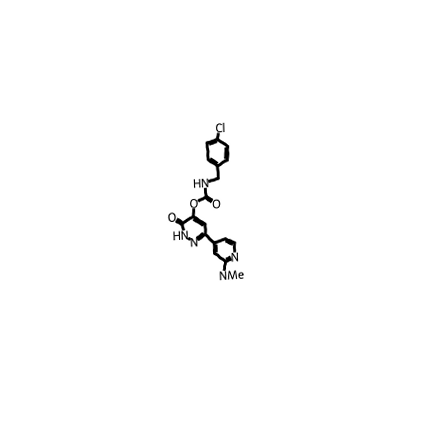 CNc1cc(-c2cc(OC(=O)NCc3ccc(Cl)cc3)c(=O)[nH]n2)ccn1